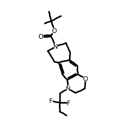 CCC(F)(F)CN1CCOc2cc3c(cc21)CCN(C(=O)OC(C)(C)C)CC3